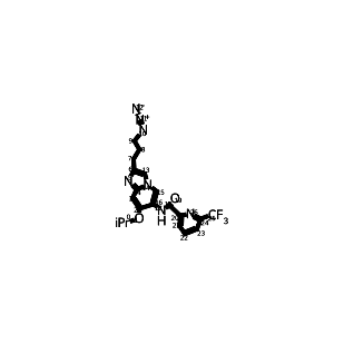 CC(C)Oc1cc2nc(CCCN=[N+]=[N-])cn2cc1NC(=O)c1cccc(C(F)(F)F)n1